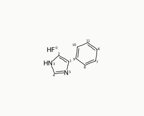 F.c1c[nH]cn1.c1ccccc1